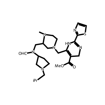 COC(=O)C1=C(CN2CCN(C)C(CN(C=O)C3CCN(CC(C)C)C3)C2)NC(c2nccs2)=NC1